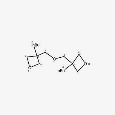 CCCCC1(COCC2(CCCC)COC2)COC1